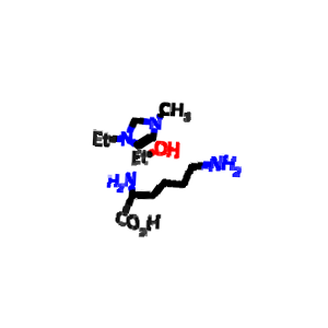 CCN1C=CN(C)C1.CCO.NCCCCC(N)C(=O)O